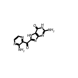 Nc1nc2nc(C(=O)c3nccnc3N)[nH]c2c(=O)[nH]1